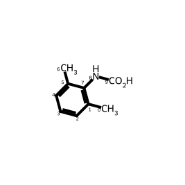 Cc1cccc(C)c1NC(=O)O